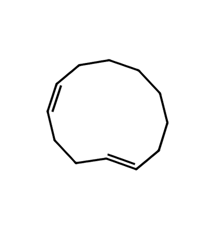 C1=CCCCCCC/C=C/CC1